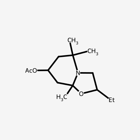 CCC1CN2C(C)(C)CC(OC(C)=O)CC2(C)O1